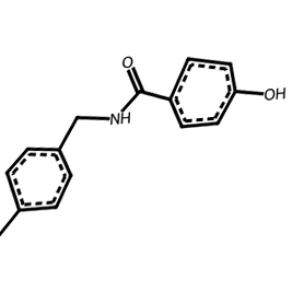 Cc1ccc(CNC(=O)c2ccc(O)cc2)cc1